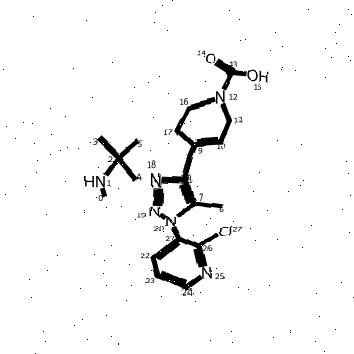 CNC(C)(C)C.Cc1c(C2=CCN(C(=O)O)CC2)nnn1-c1cccnc1Cl